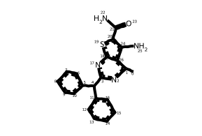 Cc1nc(C(c2ccccc2)c2ccccc2)nc2sc(C(N)=O)c(N)c12